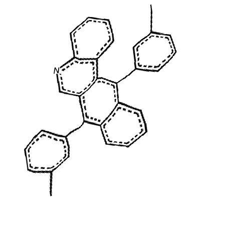 Cc1cccc(-c2c3ccccc3c(-c3cccc(C)c3)c3c2cnc2ccccc23)c1